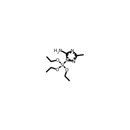 CCO[Si](OCC)(OCC)n1nc(C)nc1N